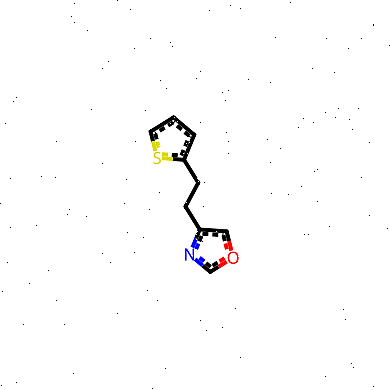 c1csc(CCc2cocn2)c1